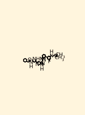 CN(C)CCNc1cc(F)cc(-c2cccc3[nH]c(-c4n[nH]c5cnc(-c6cncc(NC(=O)CC7CCCCC7)c6)cc45)nc23)c1